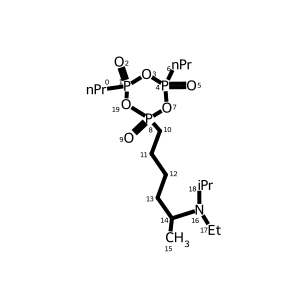 CCCP1(=O)OP(=O)(CCC)OP(=O)(CCCCC(C)N(CC)C(C)C)O1